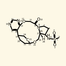 CS(=O)(=O)NC1CCN2C(=O)COc3ncncc3C3CCC(CC3)OC[C@@H]12